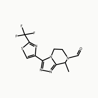 CC1c2nnc(-c3csc(C(F)(F)F)n3)n2CCN1C=O